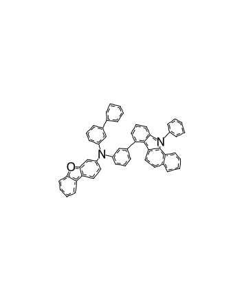 c1ccc(-c2cccc(N(c3cccc(-c4cccc5c4c4ccc6ccccc6c4n5-c4ccccc4)c3)c3ccc4c(c3)oc3ccccc34)c2)cc1